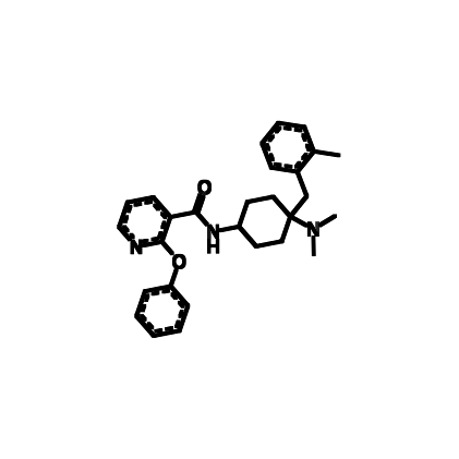 Cc1ccccc1CC1(N(C)C)CCC(NC(=O)c2cccnc2Oc2ccccc2)CC1